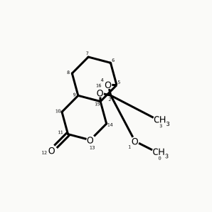 COC1(C)OC2CCCC3CC(=O)OCC32O1